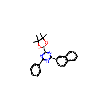 CC1(C)OB(c2nc(-c3ccccc3)nc(-c3ccc4ccccc4c3)n2)OC1(C)C